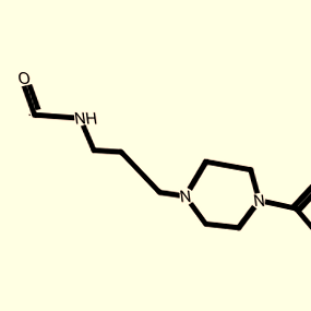 CC(=O)N1CCN(CCCN[C]=O)CC1